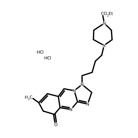 CCOC(=O)N1CCN(CCCCN2CN=C3N=C4C(=O)CC(C)=CC4=CN32)CC1.Cl.Cl